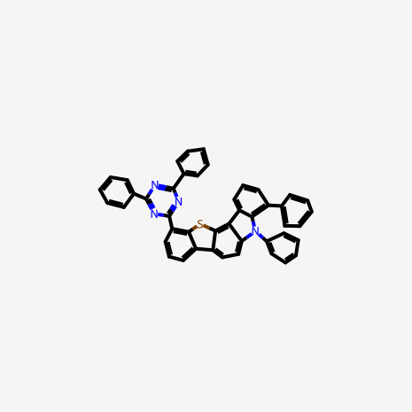 c1ccc(-c2nc(-c3ccccc3)nc(-c3cccc4c3sc3c4ccc4c3c3cccc(-c5ccccc5)c3n4-c3ccccc3)n2)cc1